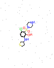 O=S(=O)(c1c(Cl)ccc(NC2CCSC2)c1O)N1CCNCC1